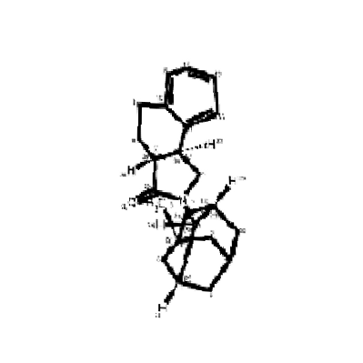 C[C@@]12CC3C[C@H](C1)[C@H](N1C[C@@H]4c5ccccc5CC[C@H]4C1=O)[C@@H](C3)C2